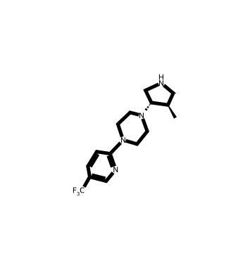 C[C@@H]1[CH]NC[C@H]1N1CCN(c2ccc(C(F)(F)F)cn2)CC1